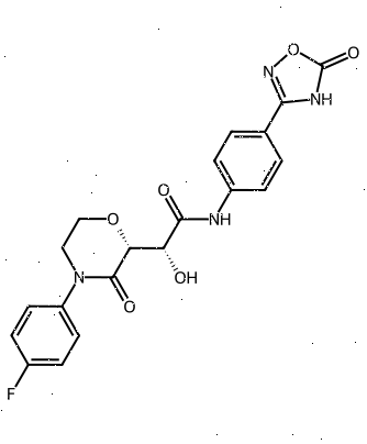 O=C(Nc1ccc(-c2noc(=O)[nH]2)cc1)[C@H](O)[C@H]1OCCN(c2ccc(F)cc2)C1=O